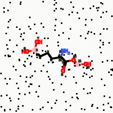 N[C@@H](CCCB(O)O)C(=O)OBO